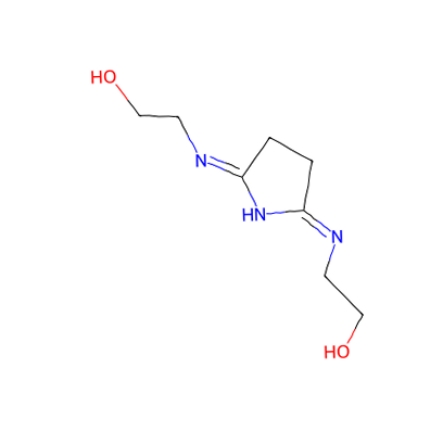 OCCN=C1CCC(=NCCO)N1